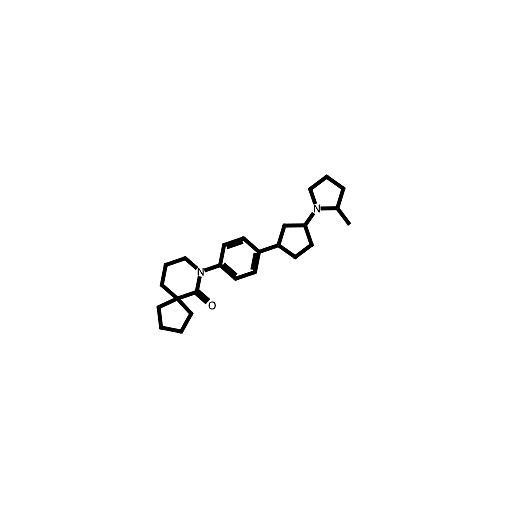 CC1CCCN1C1CCC(c2ccc(N3CCCC4(CCCC4)C3=O)cc2)C1